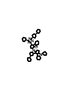 c1ccc(-c2ccc(-c3nc(-c4ccccc4)nc(-c4ccc(-n5c6ccc(-c7ccccc7)cc6c6c7c8ccccc8n(-c8ccccc8)c7ccc65)c5oc6ccccc6c45)n3)cc2)cc1